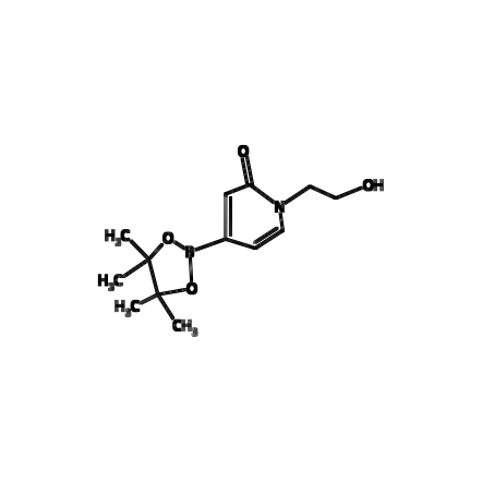 CC1(C)OB(c2ccn(CCO)c(=O)c2)OC1(C)C